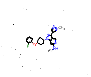 CCCNc1cc2c(cn1)c(-c1cnn(C)c1)nn2[C@H]1CC[C@@H](Oc2ccccc2F)CC1